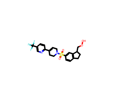 O=S(=O)(c1ccc2c(c1)C(COO)CC2)N1CC=C(c2ccc(C(F)(F)F)cn2)CC1